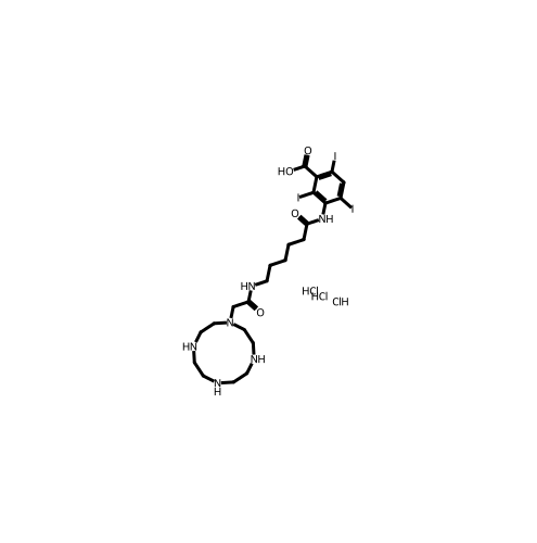 Cl.Cl.Cl.O=C(CN1CCNCCNCCNCC1)NCCCCCC(=O)Nc1c(I)cc(I)c(C(=O)O)c1I